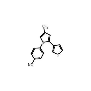 N#Cc1ccc(-n2cc(C(F)(F)F)nc2-c2ccsc2)cc1